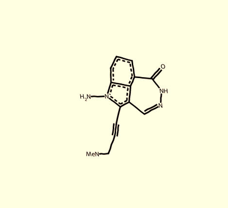 CNCC#Cc1c2c3c(cccc3n1N)C(=O)NN=C2